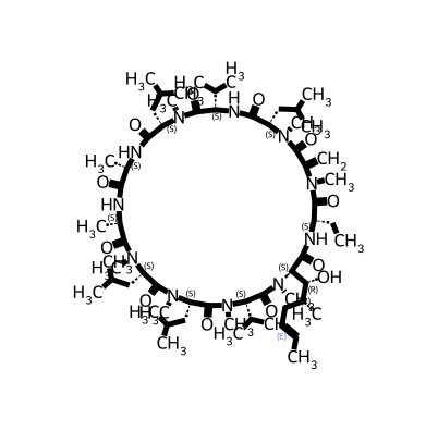 C=C1C(=O)N(C)[C@@H](CC(C)C)C(=O)N[C@@H](C(C)C)C(=O)N(C)[C@@H](CC(C)C)C(=O)N[C@@H](C)C(=O)N[C@@H](C)C(=O)N(C)[C@@H](CC(C)C)C(=O)N(C)[C@@H](CC(C)C)C(=O)N(C)[C@@H](C(C)C)C(=O)N(C)[C@@H]([C@H](O)[C@H](C)C/C=C/C)C(=O)N[C@@H](CC)C(=O)N1C